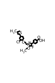 CCOc1c(F)c(-c2ccc(C(=O)O)cc2)nn1CCOc1ccc(-c2cc(C)cs2)cc1Cl